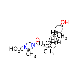 CC(CCC(=O)N1CCN(C(=O)O)[C@@H](C)C1)[C@H]1CC[C@H]2[C@@H]3CC=C4C[C@@H](O)CC[C@]4(C)[C@H]3CC[C@]12C